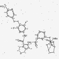 CCCCC(=O)N1C2CCC1CN(Cc1cccc(C(=O)Nc3sc4c(c3C(=O)Nc3cc(F)c(CCc5ccc(C(=O)O)cc5)c(F)c3)CCCC4)c1)C2